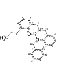 CCCc1cccc(CN(Cc2ccccc2)C(=O)OCc2ccccc2)c1